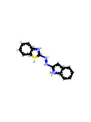 c1ccc2[nH]c(N=Nc3nc4ccccc4s3)cc2c1